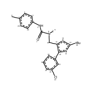 Cc1ccc(NC(=O)N(I)Cc2sc(C(C)(C)C)nc2-c2cccc(Cl)c2)cn1